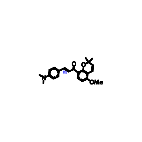 COc1ccc(C(=O)/C=C/c2ccc(N(C)C)cc2)c2c1C=CC(C)(C)O2